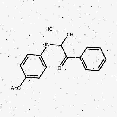 CC(=O)Oc1ccc(NC(C)C(=O)c2ccccc2)cc1.Cl